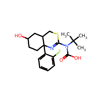 CC(C)(C)N(C(=O)O)C1=NC2(c3ccccc3F)CCC(O)CC2CS1